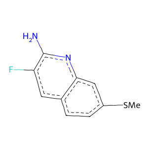 [CH2]Sc1ccc2cc(F)c(N)nc2c1